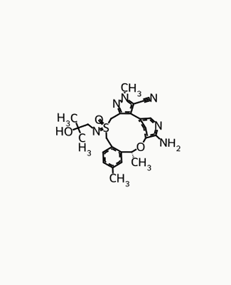 Cc1ccc2c(c1)[C@@H](C)Oc1cc(cnc1N)-c1c(nn(C)c1C#N)CS(=O)(=NCC(C)(C)O)C2